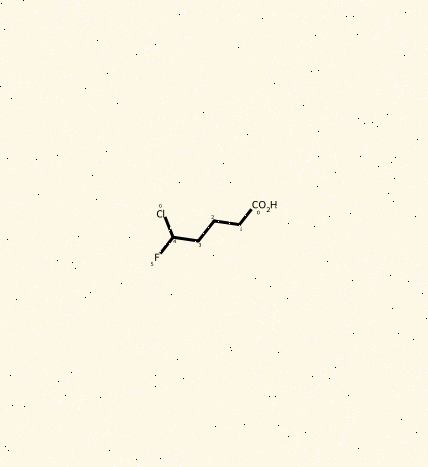 O=C(O)CCCC(F)Cl